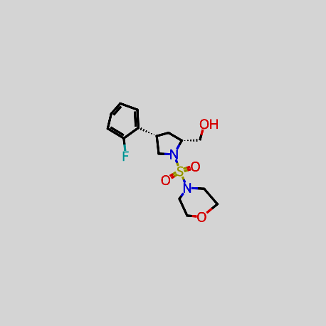 O=S(=O)(N1CCOCC1)N1C[C@H](c2ccccc2F)C[C@@H]1CO